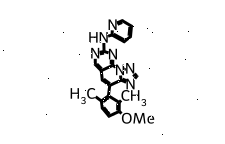 COc1ccc(C)c(-c2cc3cnc(Nc4ccccn4)nc3n3ncnc23)c1C